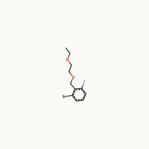 CCOCCOCc1c(F)cccc1Br